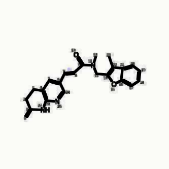 C=C1CCc2cc(/C=C/C(=O)N(C)Cc3oc4ccccc4c3C)cnc2N1